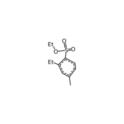 CCOS(=O)(=O)c1ccc(C)cc1CC